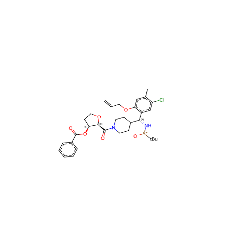 C=CCOc1cc(C)c(Cl)cc1[C@H](N[S+]([O-])C(C)(C)C)C1CCN(C(=O)[C@@H]2OCC[C@@H]2OC(=O)c2ccccc2)CC1